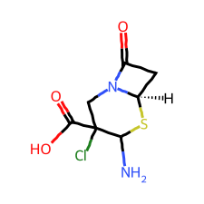 NC1S[C@@H]2CC(=O)N2CC1(Cl)C(=O)O